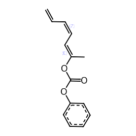 C=C/C=C\C=C(/C)OC(=O)Oc1ccccc1